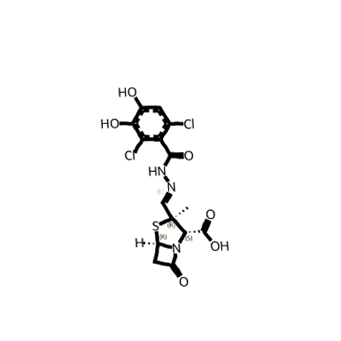 C[C@@]1(/C=N/NC(=O)c2c(Cl)cc(O)c(O)c2Cl)S[C@@H]2CC(=O)N2[C@H]1C(=O)O